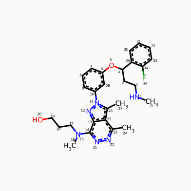 CNCCC(Oc1cccc(-n2nc3c(N(C)CCCO)nnc(C)c3c2C)c1)c1ccccc1F